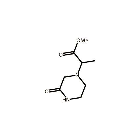 COC(=O)C(C)N1CCNC(=O)C1